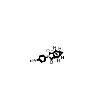 CCCc1ccc(N2C(=O)[C@@H]3[C@@H]4CC[C@@H]([C@H]5C[C@H]54)[C@@H]3C2=O)cc1